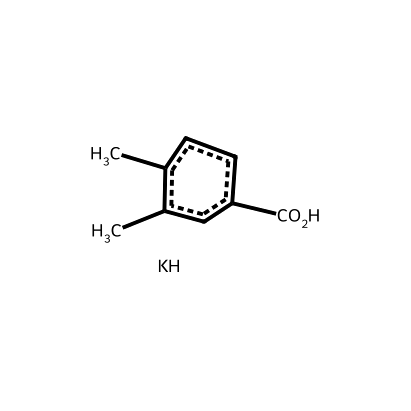 Cc1ccc(C(=O)O)cc1C.[KH]